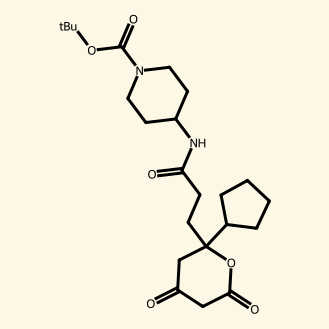 CC(C)(C)OC(=O)N1CCC(NC(=O)CCC2(C3CCCC3)CC(=O)CC(=O)O2)CC1